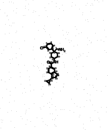 NC[C@]1(c2cccc(Cl)c2)CC[C@H](NC(=O)c2ccc3c(c2)ncn3C2CC2)CC1